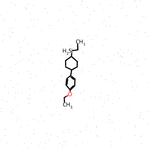 CCOc1ccc(C2CCC([SiH2]CC)CC2)cc1